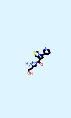 NC(CCO)CNC(=O)c1cc(-c2cccnc2)n2c1CSC2